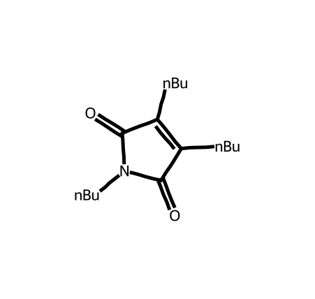 CCCCC1=C(CCCC)C(=O)N(CCCC)C1=O